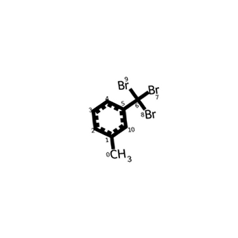 Cc1cccc(C(Br)(Br)Br)c1